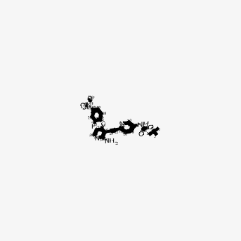 CC(C)(C)OC(=O)Nc1ccc(C#Cc2c(Oc3ccc([N+](=O)[O-])cc3F)ccnc2N)nc1